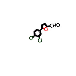 O=Cc1ccc(-c2ccc(Cl)c(Cl)c2)o1